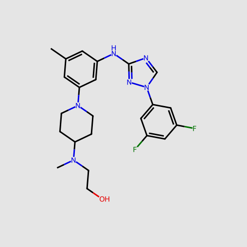 Cc1cc(Nc2ncn(-c3cc(F)cc(F)c3)n2)cc(N2CCC(N(C)CCO)CC2)c1